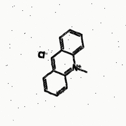 C[n+]1c2ccccc2cc2ccccc21.[Cl-]